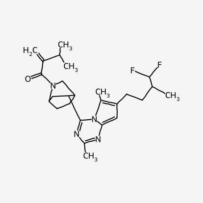 C=C(C(=O)N1CC2CCC1CC2c1nc(C)nc2cc(CCC(C)C(F)F)c(C)n12)C(C)C